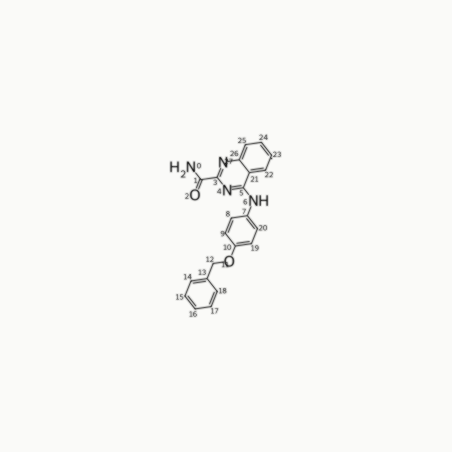 NC(=O)c1nc(Nc2ccc(OCc3ccccc3)cc2)c2c[c]ccc2n1